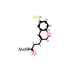 CNC(=O)CCC1=Cc2cc(S)ccc2OC1